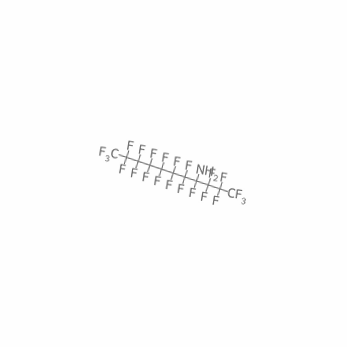 NC(F)(C(F)(F)C(F)(F)C(F)(F)F)C(F)(F)C(F)(F)C(F)(F)C(F)(F)C(F)(F)C(F)(F)C(F)(F)F